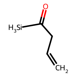 C=CCC(=O)[SiH3]